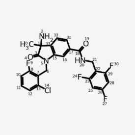 CC1(N)C(=O)N(Cc2c(F)cccc2Cl)c2cc(C(=O)NCc3c(F)cc(F)cc3F)ccc21